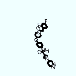 O=C(Nc1ccc(OC2CCN(C(=O)Cc3ccc(F)cc3F)CC2)cc1)C1CN(c2ccnnc2)C1